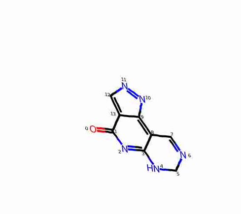 O=C1N=C2NCN=CC2=C2N=NC=C12